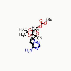 CC(C)(C)OC(=O)OC[C@H]1O[C@@](C#N)(c2ccc3c(N)ncnn23)[C@@H]2OC(C)(C)O[C@@H]21